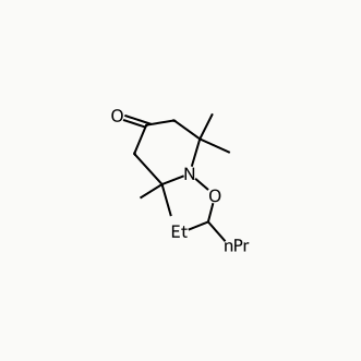 CCCC(CC)ON1C(C)(C)CC(=O)CC1(C)C